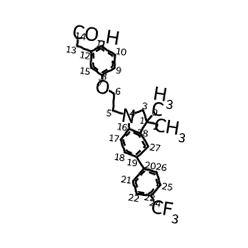 CC1(C)CN(CCOc2cccc(CC(=O)O)c2)c2ccc(-c3ccc(C(F)(F)F)cc3)cc21